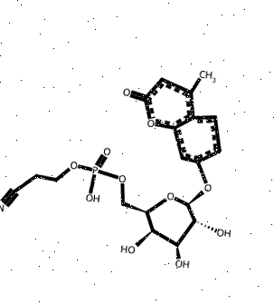 Cc1cc(=O)oc2cc(O[C@@H]3O[C@H](COP(=O)(O)OCCC#N)[C@H](O)[C@H](O)[C@H]3O)ccc12